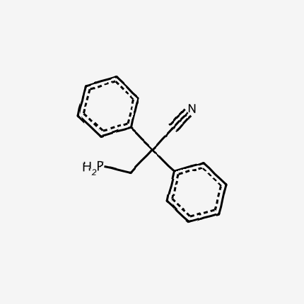 N#CC(CP)(c1ccccc1)c1ccccc1